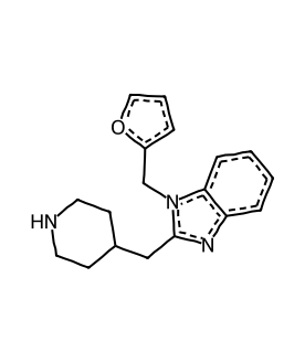 c1coc(Cn2c(CC3CCNCC3)nc3ccccc32)c1